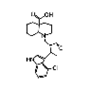 CC(c1c[nH]c2cccc(Cl)c12)C(C=O)CN1CCCC2(C(=O)O)CCCCC12